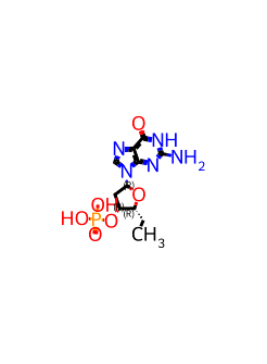 CC[C@H]1O[C@@H](n2cnc3c(=O)[nH]c(N)nc32)C[C@H]1OP(=O)(O)O